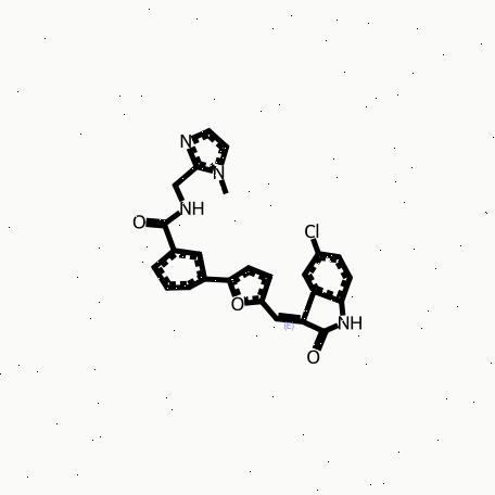 Cn1ccnc1CNC(=O)c1cccc(-c2ccc(/C=C3/C(=O)Nc4ccc(Cl)cc43)o2)c1